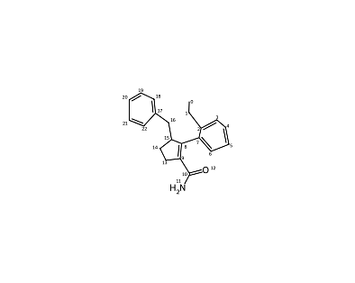 CCc1ccccc1C1=C(C(N)=O)CCC1Cc1ccccc1